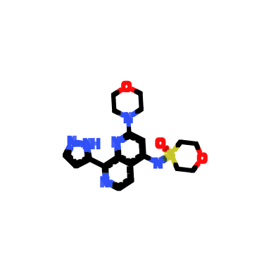 O=S1(=Nc2cc(N3CCOCC3)nc3c(-c4ccn[nH]4)nccc23)CCOCC1